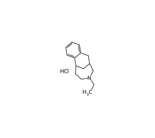 CCN1CCC2CC(Cc3ccccc32)C1.Cl